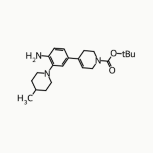 CC1CCN(c2cc(C3=CCN(C(=O)OC(C)(C)C)CC3)ccc2N)CC1